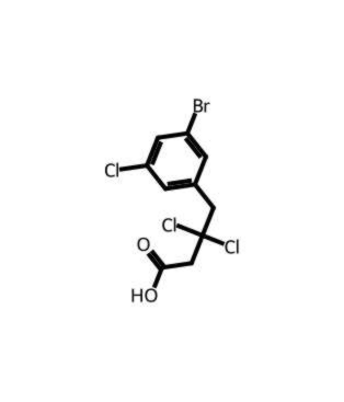 O=C(O)CC(Cl)(Cl)Cc1cc(Cl)cc(Br)c1